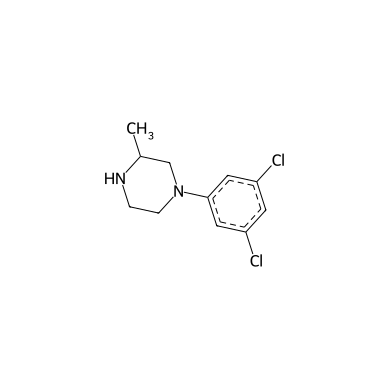 CC1CN(c2cc(Cl)cc(Cl)c2)CCN1